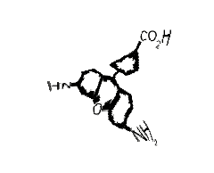 N=c1ccc2c(-c3ccc(C(=O)O)cc3)c3ccc(N)cc3oc-2c1